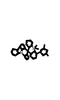 Cc1cc(C)cc(-c2cccc3c2[Si](C)(C)c2ccccc2C32c3ccccc3-n3c4ccccc4c4cccc2c43)c1